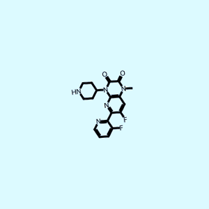 Cn1c(=O)c(=O)n(C2CCNCC2)c2nc(-c3ncccc3F)c(F)cc21